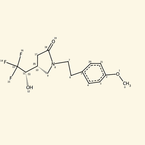 COc1ccc(CCN2C[C@H]([C@H](O)C(F)(F)F)CC2=O)cc1